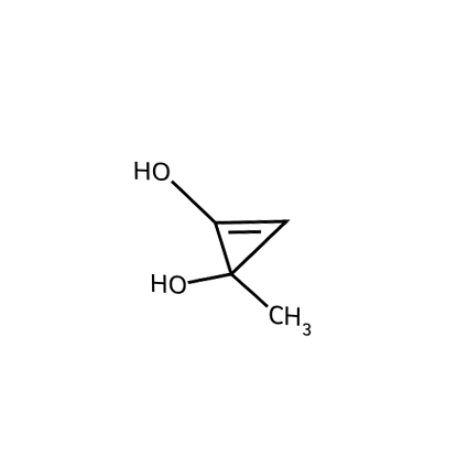 CC1(O)C=C1O